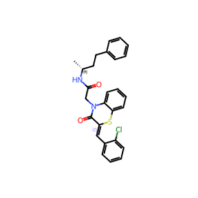 C[C@H](CCc1ccccc1)NC(=O)CN1C(=O)/C(=C/c2ccccc2Cl)Sc2ccccc21